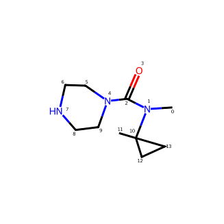 CN(C(=O)N1CCNCC1)C1(C)CC1